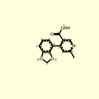 COC(=O)c1cnc(C)cc1-c1cccc2c1OCO2